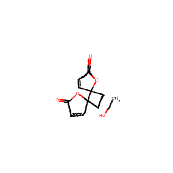 CCO.O=C1C=CC2(CCC23C=CC(=O)O3)O1